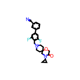 N#Cc1cccc(-c2cc(F)c(CN3CCC4(CC3)CN(C3CC3)C(=O)CO4)c(F)c2)c1